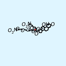 C[C@H]1CC2C3CCC4=CC(=O)C=C[C@]4(C)[C@@]3(F)[C@@H](O)C[C@]2(C)[C@@]1(OC(=O)CCCO[N+](=O)[O-])C(=O)COC(=O)COCCOCCO[N+](=O)[O-]